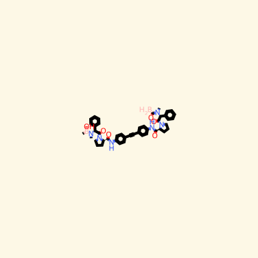 BC(=O)N(C)[C@@H](C(=O)N1CCC[C@H]1C(=O)Nc1ccc(C#Cc2ccc(NC(=O)[C@@H]3CCCN3C(=O)[C@@H](c3ccccc3)N(C)B(C)O)cc2)cc1)c1ccccc1